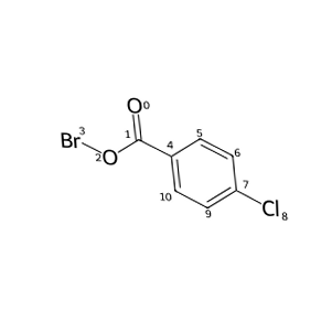 O=C(OBr)c1ccc(Cl)cc1